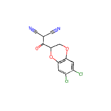 N#CC(C#N)C(=O)C1COc2cc(Cl)c(Cl)cc2O1